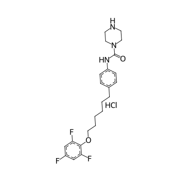 Cl.O=C(Nc1ccc(CCCCCCOc2c(F)cc(F)cc2F)cc1)N1CCNCC1